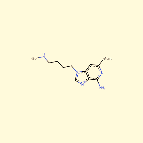 CCCCCc1cc2c(ncn2CCCCNC(C)(C)C)c(N)n1